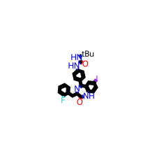 CC(C)(C)NC(=O)Nc1ccc(C2=NC(Cc3ccccc3F)C(=O)Nc3ccc(I)cc32)cc1